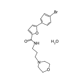 O.O=C(NCCCN1CCOCC1)c1ccc(-c2ccc(Br)cc2)o1